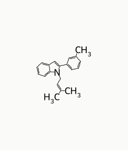 CC(C)=CCn1c(-c2cccc(C)c2)cc2ccccc21